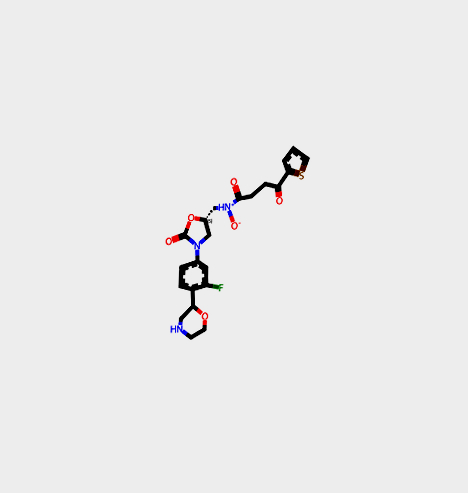 O=C(CCC(=O)[NH+]([O-])C[C@@H]1CN(c2ccc(C3CNCCO3)c(F)c2)C(=O)O1)c1cccs1